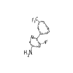 Nc1cnc(-c2cccc(C(F)(F)F)c2)c(F)c1